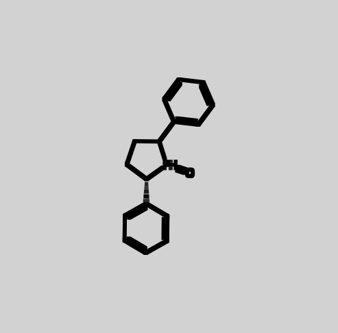 O=[PH]1C(c2ccccc2)CC[C@H]1c1ccccc1